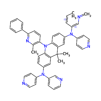 C=N/C=C(\C=C/C)N(c1ccncc1)c1ccc2c(c1)C(C)(C)c1cc(N(c3ccncc3)c3cccnc3)ccc1N2c1ccc(-c2ccccc2)nc1C